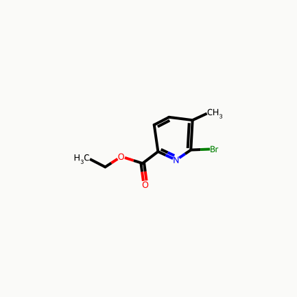 CCOC(=O)c1ccc(C)c(Br)n1